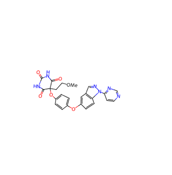 COCCC1(Oc2ccc(Oc3ccc4c(cnn4-c4ccncn4)c3)cc2)C(=O)NC(=O)NC1=O